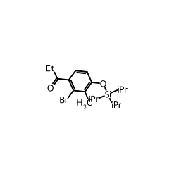 CCC(=O)c1ccc(O[Si](C(C)C)(C(C)C)C(C)C)c(C)c1Br